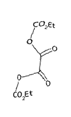 CCOC(=O)OC(=O)C(=O)OC(=O)OCC